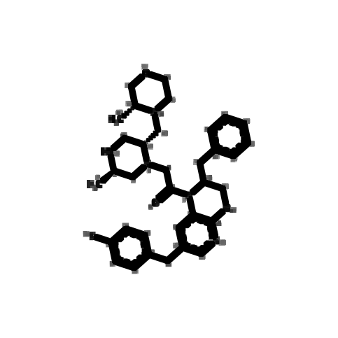 C[C@@H]1CN(CC(=O)N2c3cc(Cc4ccc(F)cc4)cnc3OCC2Cc2ccccc2)[C@@H](CN2CCOC[C@H]2C)CN1